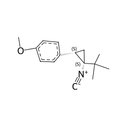 [C-]#[N+][C@@]1(C(C)(C)C)C[C@H]1c1ccc(OC)cc1